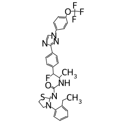 CCc1ccccc1N1CCS/C1=N\C(=O)NC(C)C(F)c1ccc(-c2ncn(-c3ccc(OC(F)(F)F)cc3)n2)cc1